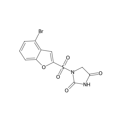 O=C1CN(S(=O)(=O)c2cc3c(Br)cccc3o2)C(=O)N1